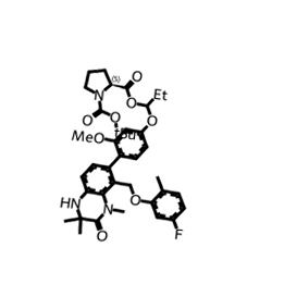 CCC(OC(=O)[C@@H]1CCCN1C(=O)OC(C)(C)C)Oc1ccc(-c2ccc3c(c2COc2cc(F)ccc2C)N(C)C(=O)C(C)(C)N3)c(OC)c1